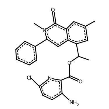 Cc1cc(C(C)OC(=O)c2nc(Cl)ccc2N)c2cc(-c3ccccc3)n(C)c(=O)c2c1